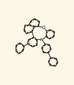 c1ccc(-c2ccc(N3c4ccccc4Oc4cccc5cccc(c45)-c4cc(-c5ccccc5)ccc43)cc2)cc1